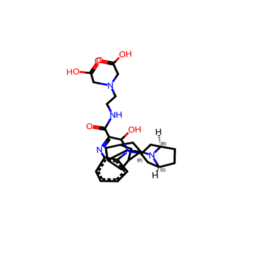 O=C(O)CN(CCNC(=O)C1=Nc2ccccc2N([C@H]2C[C@H]3CC[C@@H](C2)N3C23CC4CC(CC2C4)C3)C1O)CC(=O)O